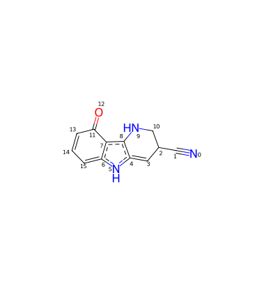 N#CC1C=c2[nH]c3c(c2NC1)C(=O)C=CC=3